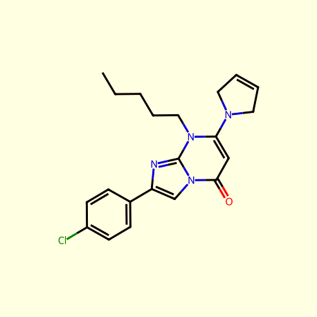 CCCCCn1c(N2CC=CC2)cc(=O)n2cc(-c3ccc(Cl)cc3)nc12